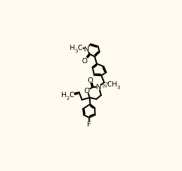 C=CCC1(c2ccc(F)cc2)CCN([C@@H](C)c2ccc(-c3cccn(C)c3=O)cc2)C(=O)O1